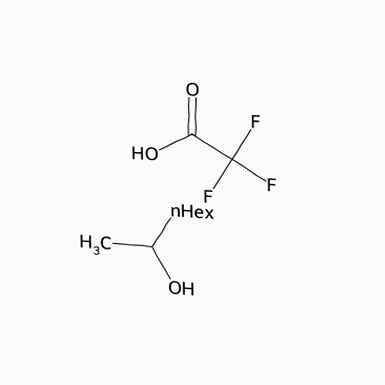 CCCCCCC(C)O.O=C(O)C(F)(F)F